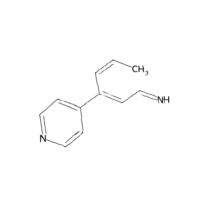 C/C=C\C(=C/C=N)c1ccncc1